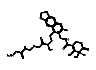 CCCN(CCc1c(CNC(=O)C2=C(CC)[C@@](O)(CC)C(=O)OC2)c(C)nc2cc3c(cc12)OCO3)C(=O)COCNC(=O)CNC(C)=O